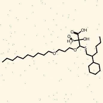 CCCCCCCCCCOCCCOC(SCC(CCCC)C1CCCCC1)C(O)([PH2]=O)C(=O)O